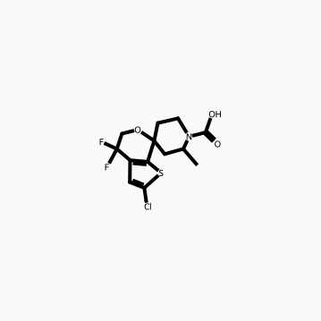 CC1CC2(CCN1C(=O)O)OCC(F)(F)c1cc(Cl)sc12